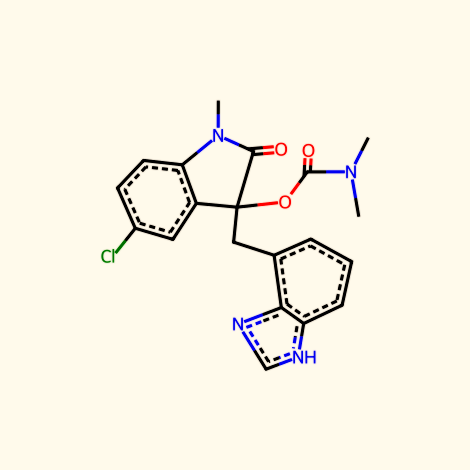 CN(C)C(=O)OC1(Cc2cccc3[nH]cnc23)C(=O)N(C)c2ccc(Cl)cc21